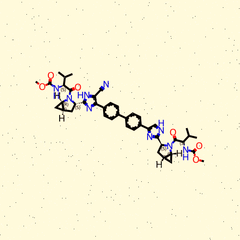 COC(=O)N[C@H](C(=O)N1[C@@H]2C[C@@H]2C[C@H]1c1nc(-c2ccc(-c3ccc(-c4nc([C@@H]5C[C@H]6C[C@H]6N5C(=O)[C@@H](NC(=O)OC)C(C)C)[nH]c4C#N)cc3)cc2)c[nH]1)C(C)C